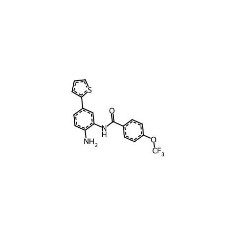 Nc1ccc(-c2cccs2)cc1NC(=O)c1ccc(OC(F)(F)F)cc1